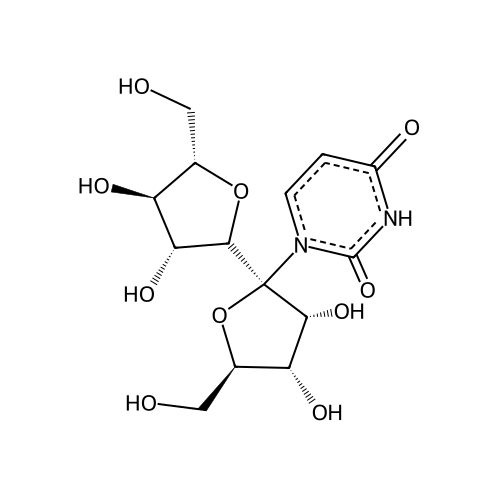 O=c1ccn([C@]2(C3O[C@@H](CO)[C@H](O)[C@H]3O)O[C@H](CO)[C@@H](O)[C@H]2O)c(=O)[nH]1